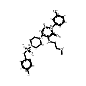 COCCOc1c(N2CCN(S(=O)(=O)Cc3ccc(I)cc3)CC2)cnn(-c2cccc(Cl)c2)c1=O